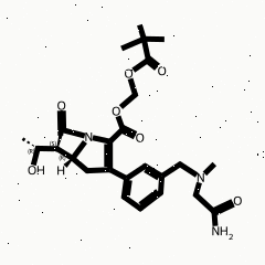 C[C@@H](O)[C@H]1C(=O)N2C(C(=O)OCOC(=O)C(C)(C)C)=C(c3cccc(CN(C)CC(N)=O)c3)C[C@H]12